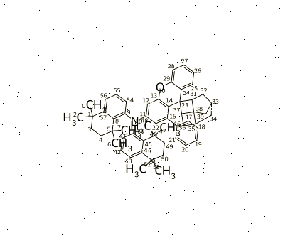 CC1(C)CCC(C)(C)c2c(N(c3cc4c(c(-c5ccccc5)c3)C3(c5ccccc5O4)C4CC5CC6CC3C64C5)c3cccc4c3C(C)(C)CCC4(C)C)cccc21